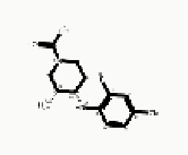 C[C@@H]1CN(C(=O)O)CC[C@@H]1Nc1ccc(Cl)cc1F